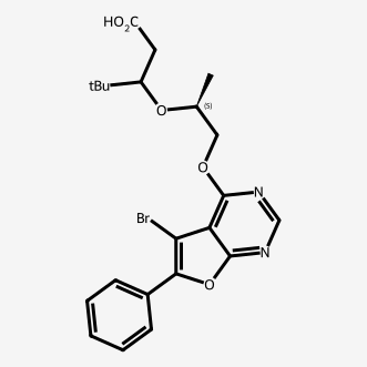 C[C@@H](COc1ncnc2oc(-c3ccccc3)c(Br)c12)OC(CC(=O)O)C(C)(C)C